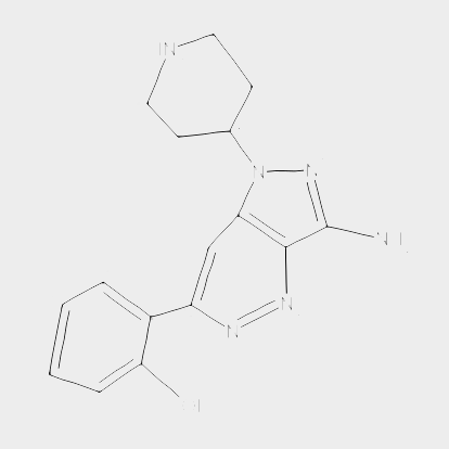 Nc1nn(C2CCNCC2)c2cc(-c3ccccc3O)nnc12